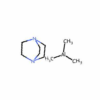 C1CN2CCN1CC2.[CH3][Al]([CH3])[CH3]